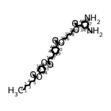 CCCCCCC(=O)Oc1ccc(OC(=O)C=Cc2ccc(C(=O)OCCCCCOC(=O)c3cc(N)cc(N)c3)cc2)cc1